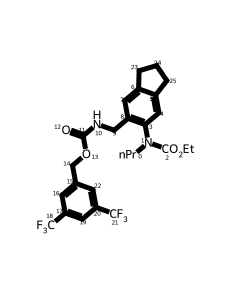 CCCN(C(=O)OCC)c1cc2c(cc1CNC(=O)OCc1cc(C(F)(F)F)cc(C(F)(F)F)c1)CCC2